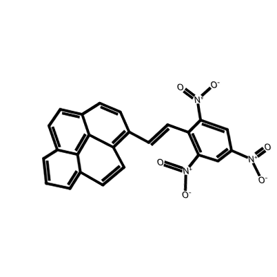 O=[N+]([O-])c1cc([N+](=O)[O-])c(/C=C/c2ccc3ccc4cccc5ccc2c3c45)c([N+](=O)[O-])c1